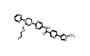 Cn1cc(-c2ccc(C(=O)Nc3cnc(N4CCN(c5ncccn5)[C@@H](COCCF)C4)nc3)cn2)cn1